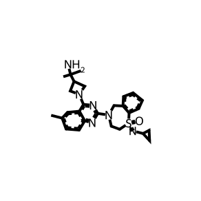 Cc1ccc2nc(N3CCS(=O)(=NC4CC4)c4ccccc4C3)nc(N3CC(C(C)(C)N)C3)c2c1